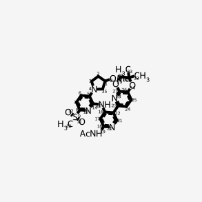 COC1CCN(c2ccc(S(C)(=O)=O)nc2Nc2cc(NC(C)=O)ncc2-c2ccc3c(n2)OCC(C)(C)O3)C1